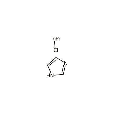 CCCCl.c1c[nH]cn1